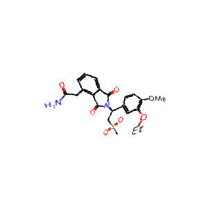 CCOc1cc(C(CS(C)(=O)=O)N2C(=O)c3cccc(CC(N)=O)c3C2=O)ccc1OC